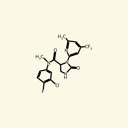 Cc1cc(C(F)(F)F)cc(N2C(=O)NCC2C(=O)N(C)c2ccc(F)c(Cl)c2)n1